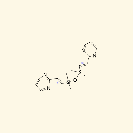 C[Si](C)(/C=C/c1ncccn1)O[Si](C)(C)/C=C/c1ncccn1